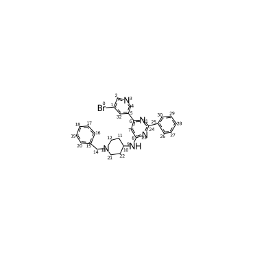 Brc1cncc(-c2cc(NC3CCN(Cc4ccccc4)CC3)nc(-c3ccccc3)n2)c1